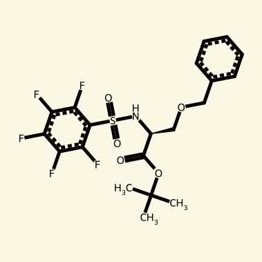 CC(C)(C)OC(=O)[C@H](COCc1ccccc1)NS(=O)(=O)c1c(F)c(F)c(F)c(F)c1F